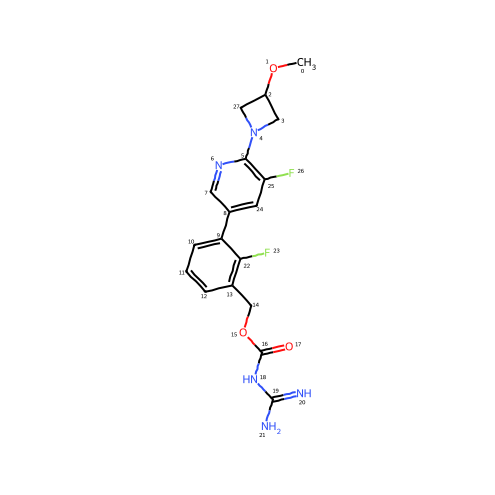 COC1CN(c2ncc(-c3cccc(COC(=O)NC(=N)N)c3F)cc2F)C1